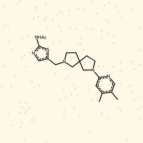 CC(=O)Nc1ncc(CN2CCC3(CCN(c4cc(C)c(C)cn4)C3)C2)s1